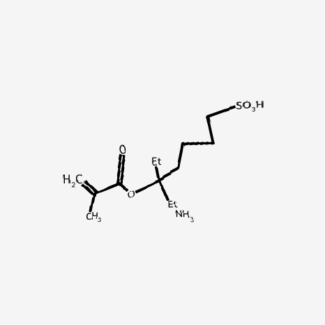 C=C(C)C(=O)OC(CC)(CC)CCCCS(=O)(=O)O.N